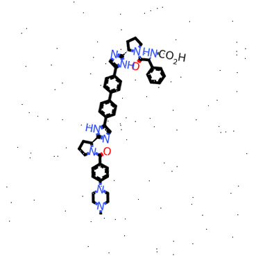 CN1CCN(c2ccc(C(=O)N3CCC[C@H]3c3ncc(-c4ccc(-c5ccc(-c6cnc([C@@H]7CCCN7C(=O)[C@H](NC(=O)O)c7ccccc7)[nH]6)cc5)cc4)[nH]3)cc2)CC1